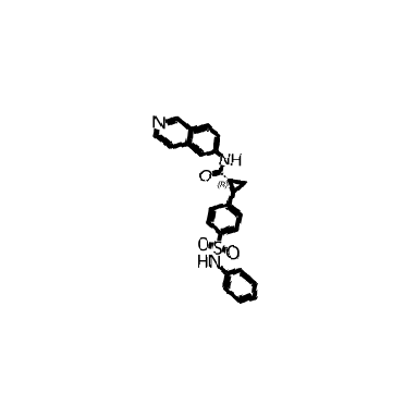 O=C(Nc1ccc2cnccc2c1)[C@@H]1CC1c1ccc(S(=O)(=O)Nc2ccccc2)cc1